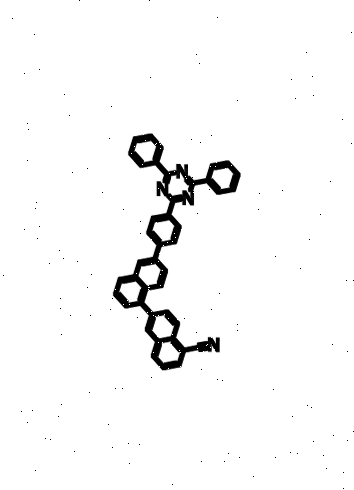 N#Cc1cccc2cc(-c3cccc4cc(-c5ccc(-c6nc(-c7ccccc7)nc(-c7ccccc7)n6)cc5)ccc34)ccc12